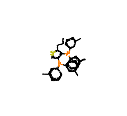 CCCc1scc(P(c2cccc(C)c2)c2cccc(C)c2)c1P(c1cccc(C)c1)c1cccc(C)c1